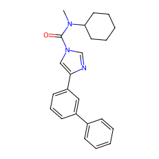 CN(C(=O)n1cnc(-c2cccc(-c3ccccc3)c2)c1)C1CCCCC1